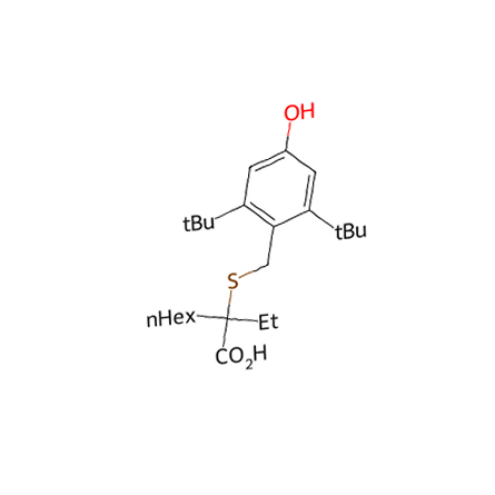 CCCCCCC(CC)(SCc1c(C(C)(C)C)cc(O)cc1C(C)(C)C)C(=O)O